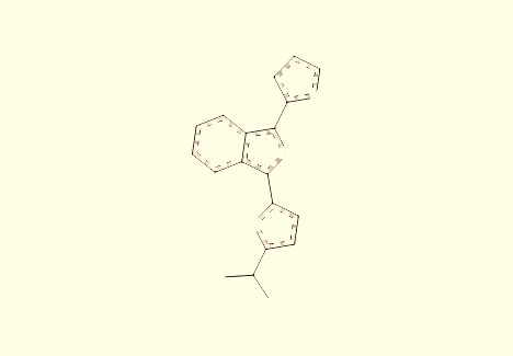 CC(C)c1ccc(-c2sc(-c3cccs3)c3ccccc23)s1